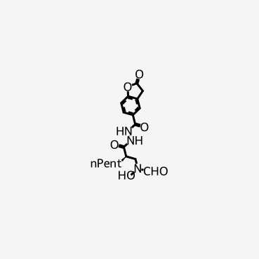 CCCCC[C@H](CN(O)C=O)C(=O)NNC(=O)c1ccc2c(c1)CC(=O)O2